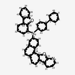 c1ccc(-c2ccc(N(c3ccc4c(ccc5ccc6c7cccnc7oc6c54)c3)c3cccc4c3oc3ccccc34)cc2)cc1